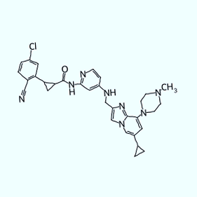 CN1CCN(c2cc(C3CC3)cn3cc(CNc4ccnc(NC(=O)C5CC5c5cc(Cl)ccc5C#N)c4)nc23)CC1